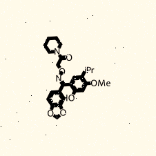 COc1cc(O)c(C(=NOCC(=O)N2CCCCC2)c2ccc3c(c2)OCO3)cc1C(C)C